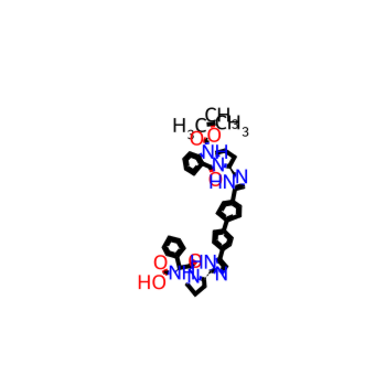 CC(C)(C)OC(=O)Nc1ccccc1C(=O)N1CCC[C@H]1c1ncc(-c2ccc(-c3ccc(-c4cnc([C@@H]5CCCN5C(=O)[C@H](NC(=O)O)c5ccccc5)[nH]4)cc3)cc2)[nH]1